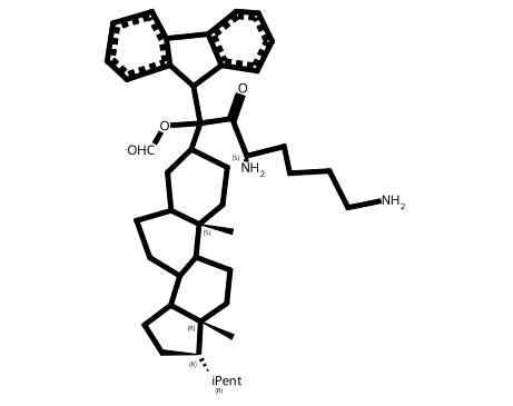 CCC[C@@H](C)[C@H]1CCC2C3CCC4CC(C(O[C]=O)(C(=O)[C@@H](N)CCCCN)C5c6ccccc6-c6ccccc65)CC[C@]4(C)C3CC[C@@]21C